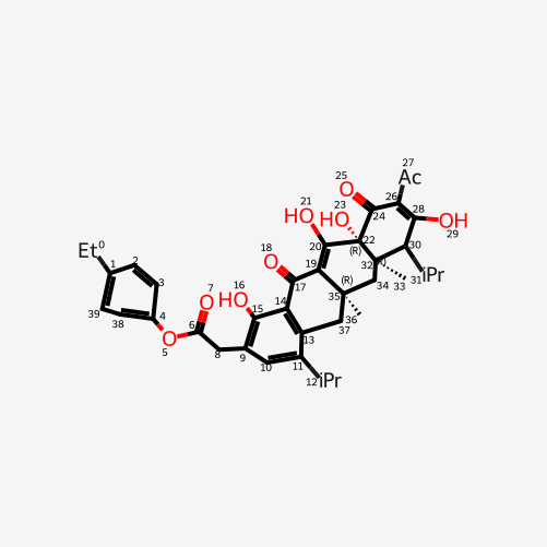 CCc1ccc(OC(=O)Cc2cc(C(C)C)c3c(c2O)C(=O)C2=C(O)[C@@]4(O)C(=O)C(C(C)=O)=C(O)C(C(C)C)[C@@]4(C)C[C@@]2(C)C3)cc1